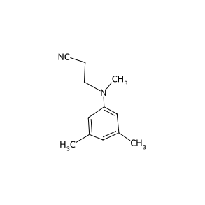 Cc1cc(C)cc(N(C)CCC#N)c1